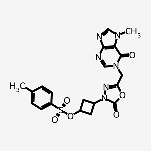 Cc1ccc(S(=O)(=O)OC2CC(n3nc(Cn4cnc5ncn(C)c5c4=O)oc3=O)C2)cc1